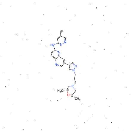 CC(C)c1cnnc(Nc2ccc3ncc(-c4cnn(CCCN5C[C@@H](C)O[C@@H](C)C5)c4)cc3n2)c1